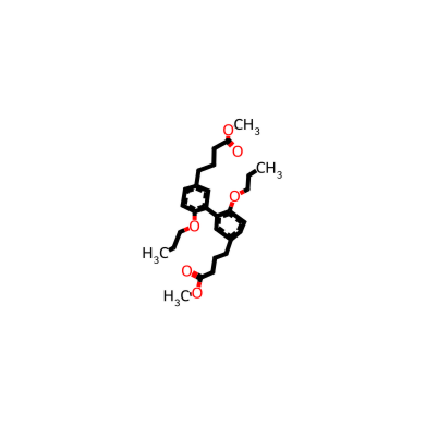 CCCOc1ccc(CCCC(=O)OC)cc1-c1cc(CCCC(=O)OC)ccc1OCCC